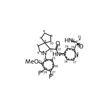 COc1c(N2CCC3(CCCC3)C2C(=O)Nc2ccnc([S@](C)(=N)=O)c2)ccc(F)c1F